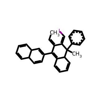 C/C=C1/C(C2=CC3C=CC=CC3C=C2)=C2C=CC=CC2C(C)(c2ccccc2)/C1=C/I